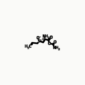 C=CC[S+]([O-])C[C@H](N)C(=O)OC(N)=O